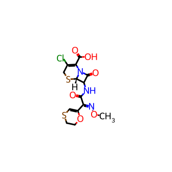 CON=C(C(=O)NC1C(=O)N2C(C(=O)O)=C(Cl)CS[C@@H]12)C1=CSCCO1